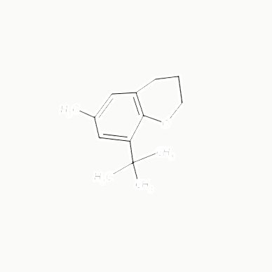 Cc1cc2c(c(C(C)(C)C)c1)OCCC2